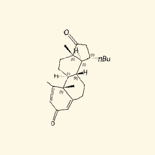 CCCC[C@H]1CC(=O)[C@@]2(C)CC[C@H]3[C@@H](CCC4=CC(=O)C=C(C)[C@@]43C)[C@H]12